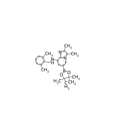 Cc1cccc(C)c1CNc1cc(B2OC(C)(C)C(C)(C)O2)cn2c(C)c(C)nc12